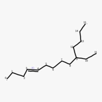 [CH2]CC/C=C/CCCCC(CC)CCC[CH2]